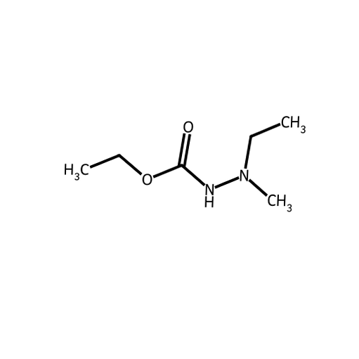 CCOC(=O)NN(C)CC